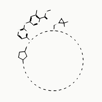 CNC(=O)c1ncc(Nc2nccc(N3CCCCN(C[C@H]4CC4(F)F)CCCCCCCCCCCCCCCCCCCCCCCCCCC4CC[C@H](C4)C3)n2)cc1C